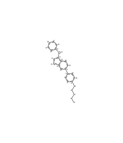 CCCCCc1ccc(-c2ccc3c(Oc4ccccc4)csc3c2)cc1